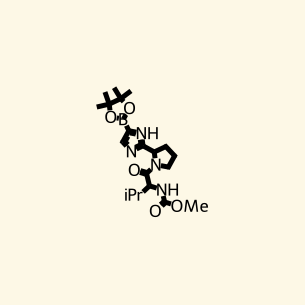 COC(=O)NC(C(=O)N1CCCC1c1ncc(B2OC(C)(C)C(C)(C)O2)[nH]1)C(C)C